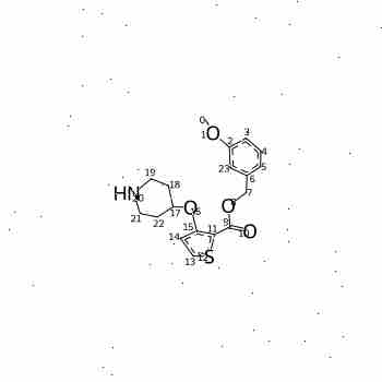 COc1cccc(COC(=O)c2sccc2OC2CCNCC2)c1